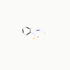 CS(=O)(=O)n1/c(=N\C(F)(F)F)oc2ccccc21